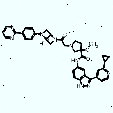 COC1(C(=O)Nc2ccc3[nH]nc(-c4ccnc(C5CC5)c4)c3c2)CCN(CC(=O)N2C[C@@H]3C2CN3c2ccc(-c3ncccn3)cc2)C1